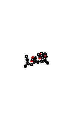 c1ccc(-c2ccc(-c3nc(-c4ccccc4)cc(-c4cccc(-c5cc6c7c(c5)c5ccc(-c8ccc(-c9nc(-c%10ccccc%10)cc(-c%10ccccc%10-c%10cccc%11c%10-n%10c%12ccccc%12c%12cccc(c%12%10)C%11%10c%11ccccc%11-c%11ccccc%11%10)n9)cc8)cc5n7-c5ccccc5C65c6ccccc6-c6ccccc65)c4)n3)cc2)cc1